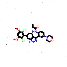 C=CC(=O)Nc1ccc(N2CCOCC2)cc1-c1n[nH]c2c1CCC(c1c(Cl)c(OC)cc(OC)c1Cl)C2